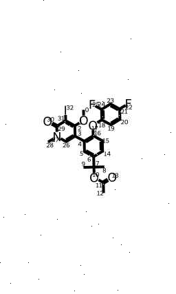 COc1c(-c2cc(C(C)(C)OC(C)=O)ccc2Oc2ccc(F)cc2F)cn(C)c(=O)c1I